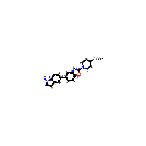 COC1CCN(c2nc3cc(-c4ccc5c(ccn5C)c4)ccc3o2)CC1